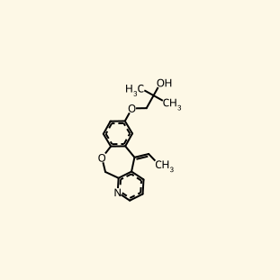 C/C=C1/c2cc(OCC(C)(C)O)ccc2OCc2ncccc21